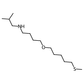 CSCCCCCOCCCCNCC(C)C